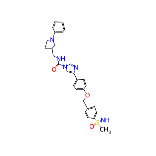 CS(=N)(=O)c1ccc(COc2ccc(-c3cn(C(=O)NCC4CCN(c5ccccc5)C4)cn3)cc2)cc1